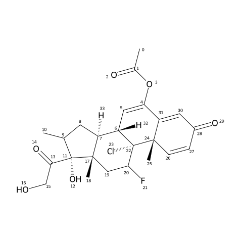 CC(=O)OC1=C[C@H]2[C@@H]3CC(C)[C@](O)(C(=O)CO)[C@@]3(C)CC(F)[C@]2(Cl)[C@@]2(C)C=CC(=O)C=C12